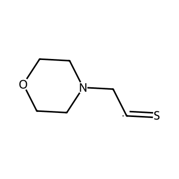 S=[C]CN1CCOCC1